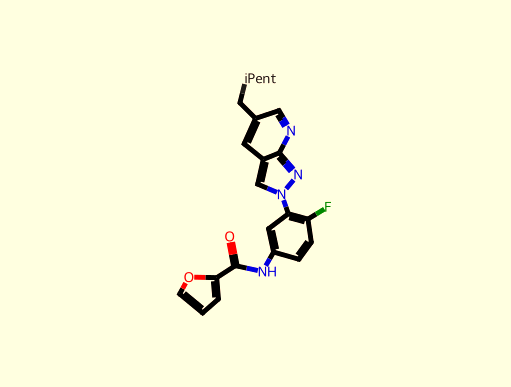 CCCC(C)Cc1cnc2nn(-c3cc(NC(=O)c4ccco4)ccc3F)cc2c1